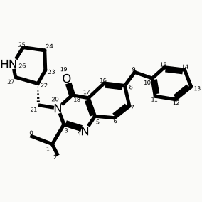 CC(C)c1nc2ccc(Cc3ccccc3)cc2c(=O)n1C[C@H]1CCCNC1